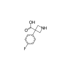 O=C(O)C1(c2ccc(F)cc2)CNC1